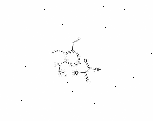 CCc1cccc(NN)c1CC.O=C(O)C(=O)O